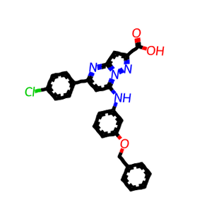 O=C(O)c1cc2nc(-c3ccc(Cl)cc3)cc(Nc3cccc(OCc4ccccc4)c3)n2n1